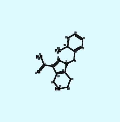 NC(=O)c1nn(Cc2ccccc2C(F)(F)F)c2c1CNCC2